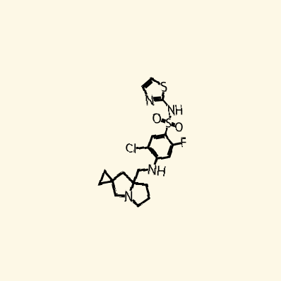 O=S(=O)(Nc1nccs1)c1cc(Cl)c(NCC23CCCN2CC2(CC2)C3)cc1F